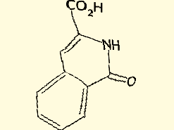 O=C(O)c1cc2ccccc2c(=O)[nH]1